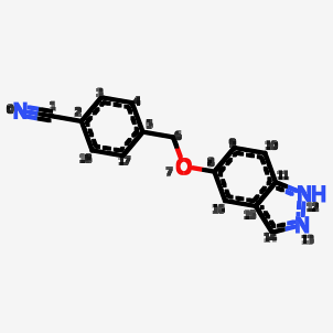 N#Cc1ccc(COc2ccc3[nH]ncc3c2)cc1